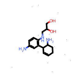 Nc1ccc(NCC(O)CO)c(C2C=CCCC2N)c1